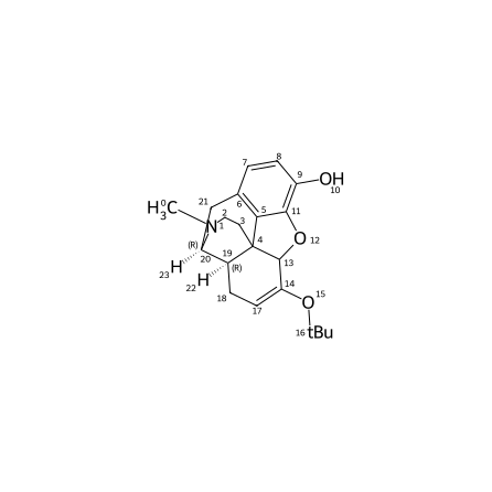 CN1CCC23c4c5ccc(O)c4OC2C(OC(C)(C)C)=CC[C@H]3[C@H]1C5